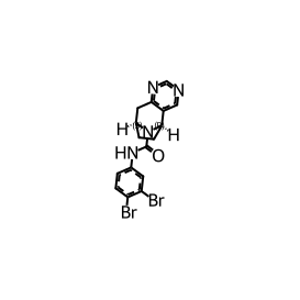 O=C(Nc1ccc(Br)c(Br)c1)N1[C@H]2CC[C@@H]1c1cncnc1C2